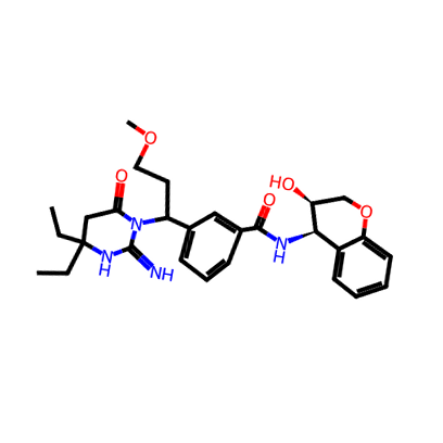 CCC1(CC)CC(=O)N(C(CCOC)c2cccc(C(=O)N[C@@H]3c4ccccc4OC[C@@H]3O)c2)C(=N)N1